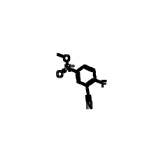 CO[N+](=O)c1ccc(F)c(C#N)c1